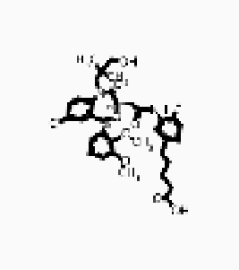 COc1cccc([C@H]2O[C@H](CC(=O)Nc3cc(CCCCC(=O)O)ccc3F)C(=O)N(CC(C)(C)CO)c3ccc(Cl)cc32)c1OC